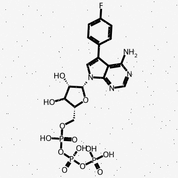 Nc1ncnc2c1c(-c1ccc(F)cc1)cn2[C@@H]1O[C@H](COP(=O)(O)OP(=O)(O)OP(=O)(O)O)C(O)[C@@H]1O